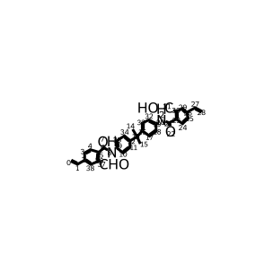 C=Cc1ccc(C(=O)Nc2ccc(C(C)(C)c3ccc(NC(=O)c4ccc(C=C)cc4C(=O)O)cc3)cc2)c(C=O)c1